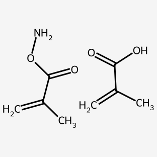 C=C(C)C(=O)O.C=C(C)C(=O)ON